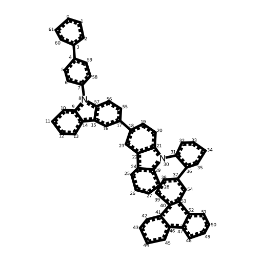 c1ccc(-c2ccc(-n3c4ccccc4c4cc(-c5ccc6c(c5)c5ccccc5n6-c5ccccc5-c5ccc6c7ccccc7c7ccccc7c6c5)ccc43)cc2)cc1